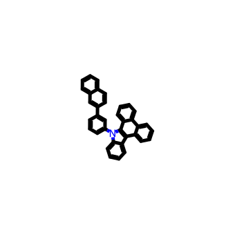 c1cc(-c2ccc3ccccc3c2)cc(-n2c3ccccc3c3c4ccccc4c4ccccc4c32)c1